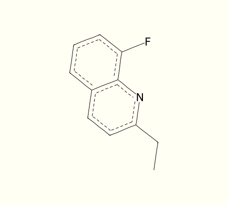 CCc1ccc2cccc(F)c2n1